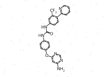 Nc1cc(Oc2ccc(NC(=O)Nc3ccc(-c4ccccn4)c(C(F)(F)F)c3)cc2)ncn1